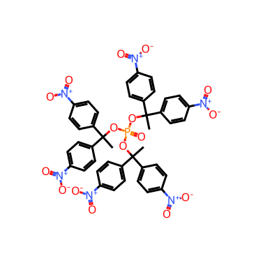 CC(OP(=O)(OC(C)(c1ccc([N+](=O)[O-])cc1)c1ccc([N+](=O)[O-])cc1)OC(C)(c1ccc([N+](=O)[O-])cc1)c1ccc([N+](=O)[O-])cc1)(c1ccc([N+](=O)[O-])cc1)c1ccc([N+](=O)[O-])cc1